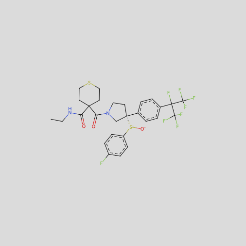 CCNC(=O)C1(C(=O)N2CC[C@](c3ccc(C(F)(C(F)(F)F)C(F)(F)F)cc3)([S+]([O-])c3ccc(F)cc3)C2)CCSCC1